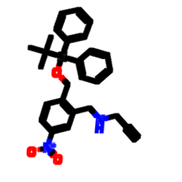 C#CCNCc1cc([N+](=O)[O-])ccc1CO[Si](c1ccccc1)(c1ccccc1)C(C)(C)C